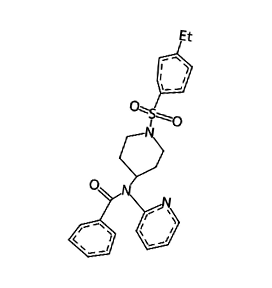 CCc1ccc(S(=O)(=O)N2CCC(N(C(=O)c3ccccc3)c3ccccn3)CC2)cc1